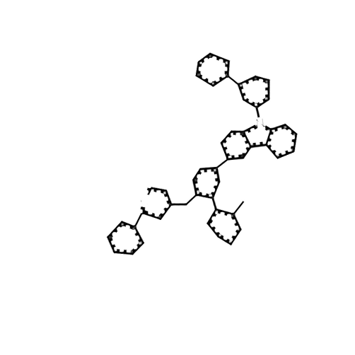 Cc1ccccc1-c1cc(-c2ccc3c(c2)c2ccccc2n3-c2cccc(-c3ccccc3)c2)ccc1Cc1cccc(-c2ccccc2)c1